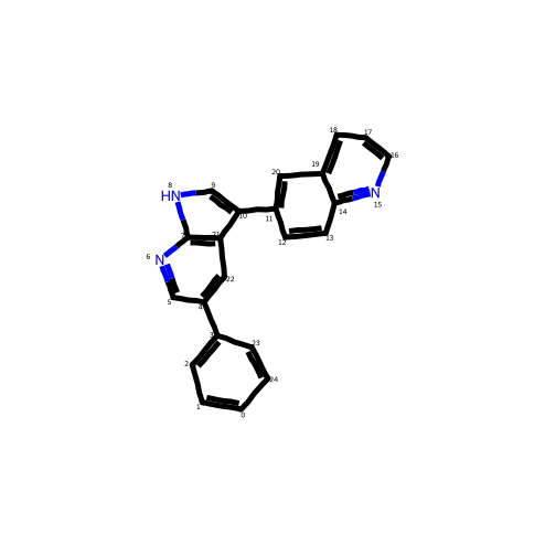 c1ccc(-c2cnc3[nH]cc(-c4ccc5ncccc5c4)c3c2)cc1